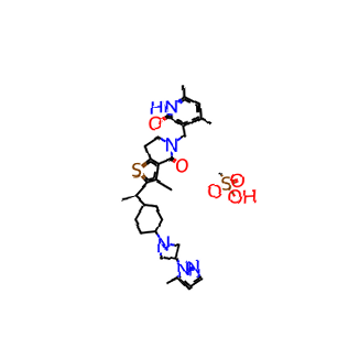 CS(=O)(=O)O.Cc1cc(C)c(CN2CCc3sc([C@H](C)C4CCC(N5CC(n6nccc6C)C5)CC4)c(C)c3C2=O)c(=O)[nH]1